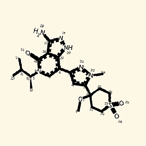 COC1(c2cc(-c3cn([C@@H](C)C(C)C)c(=O)c4c(N)n[nH]c34)nn2C)CCS(=O)(=O)CC1